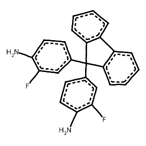 Nc1ccc(C2(c3ccc(N)c(F)c3)c3ccccc3-c3ccccc32)cc1F